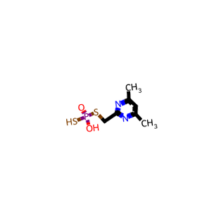 Cc1cc(C)nc(CSP(=O)(O)S)n1